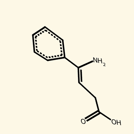 NC(=CCC(=O)O)c1ccccc1